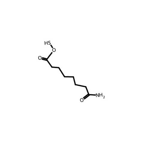 NC(=O)CCCCCCC(=O)OS